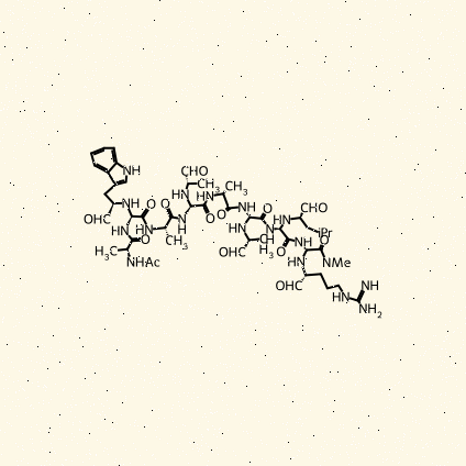 CNC(=O)[C@@H](NC(=O)[C@@H](NC(=O)[C@@H](NC(=O)[C@H](C)NC(=O)[C@@H](NC(=O)[C@H](C)NC(=O)[C@@H](NC(=O)[C@H](C)NC(C)=O)N[C@@H](C=O)Cc1c[nH]c2ccccc12)N[C@@H](C)C=O)N[C@@H](C)C=O)N[C@@H](C=O)CC(C)C)N[C@@H](C=O)CCCNC(=N)N